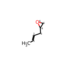 CC=[C]CC1CO1